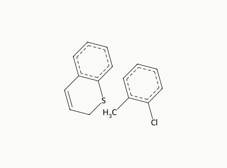 C1=Cc2ccccc2SC1.Cc1ccccc1Cl